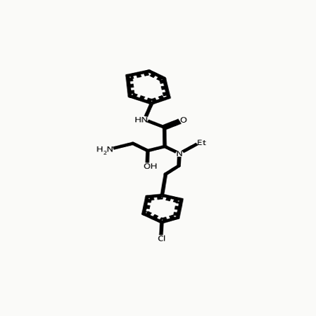 CCN(CCc1ccc(Cl)cc1)C(C(=O)Nc1ccccc1)C(O)CN